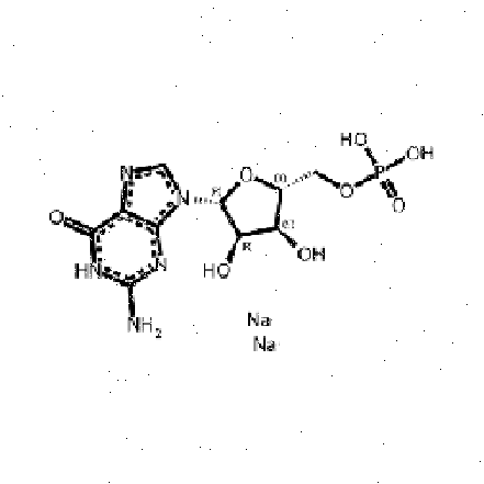 Nc1nc2c(ncn2[C@@H]2O[C@H](COP(=O)(O)O)[C@@H](O)[C@H]2O)c(=O)[nH]1.[Na].[Na]